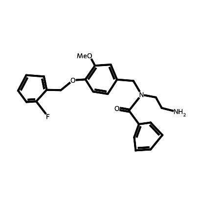 COc1cc(CN(CCN)C(=O)c2ccccc2)ccc1OCc1ccccc1F